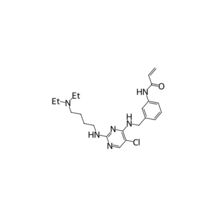 C=CC(=O)Nc1cccc(CNc2nc(NCCCCN(CC)CC)ncc2Cl)c1